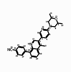 Cc1c(-c2ccc(N3CC(C)OC(C)C3)nc2)cnc2c(-c3ccc(C#N)cc3)cccc12